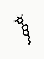 C=CCCC1CCC2CC(c3cc(F)c(F)c(F)c3)CCC2C1